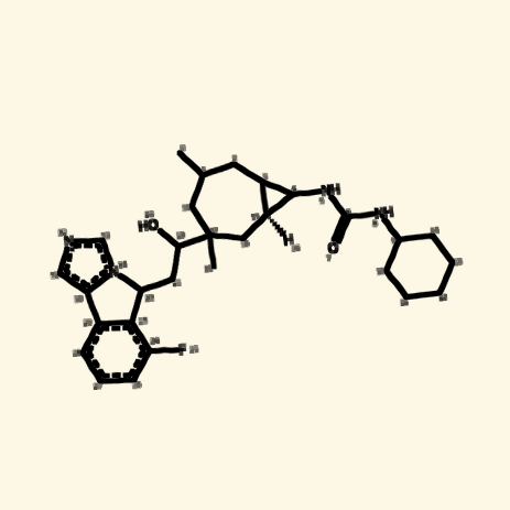 CC1CC2C(NC(=O)NC3CCCCC3)[C@H]2CC(C)(C(O)CC2c3c(F)cccc3-c3cncn32)C1